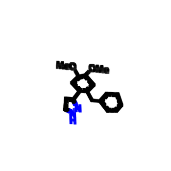 COc1cc(Cc2ccccc2)c(-c2cc[nH]n2)cc1OC